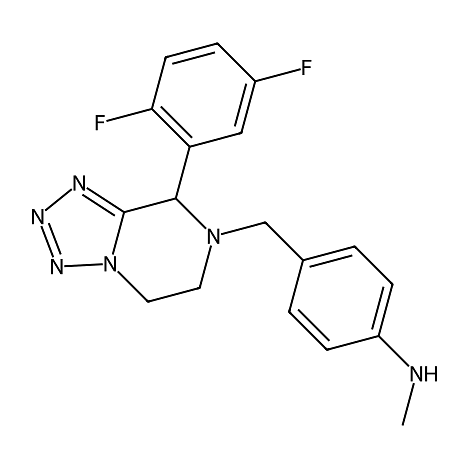 CNc1ccc(CN2CCn3nnnc3C2c2cc(F)ccc2F)cc1